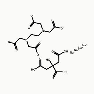 O=C(O)CC(O)(CC(=O)O)C(=O)O.O=C([O-])CN(CCN(CC(=O)[O-])CC(=O)[O-])CC(=O)[O-].[Na+].[Na+].[Na+].[Na+]